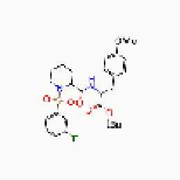 COc1ccc(CC(NC(=O)C2CCCCN2S(=O)(=O)c2cccc(F)c2)C(=O)OC(C)(C)C)cc1